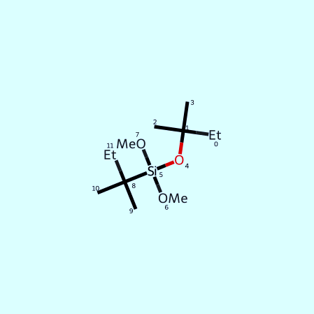 CCC(C)(C)O[Si](OC)(OC)C(C)(C)CC